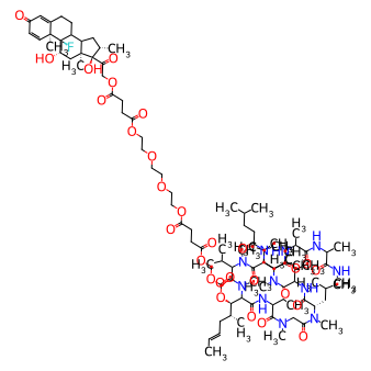 C/C=C/C[C@@H](C)[C@@H](OC(=O)OCOC(=O)CCC(=O)OCCOCCOCCOC(=O)CCC(=O)OCC(=O)[C@@]1(O)[C@@H](C)CC2C3CCC4=CC(=O)C=C[C@]4(C)[C@@]3(F)[C@@H](O)C[C@@]21C)C(C(=O)NC(CC)C(=O)N(C)CC(=O)N(C)[C@@H](CC(C)C)C(=O)NC(C(=O)N(C)C(CC(C)C)C(=O)NC(C)C(=O)NC(C)C(=O)NC)C(C)C)N(C)C(=O)C(C(C)C)N(C)C(=O)C(CC(C)C)N(C)C(=O)CCC(C)C